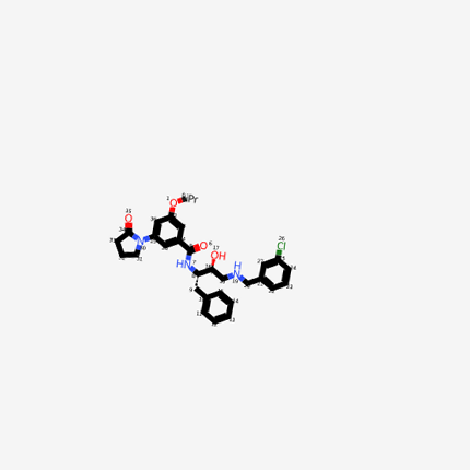 CC(C)Oc1cc(C(=O)N[C@@H](Cc2ccccc2)[C@@H](O)CNCc2cccc(Cl)c2)cc(N2CCCC2=O)c1